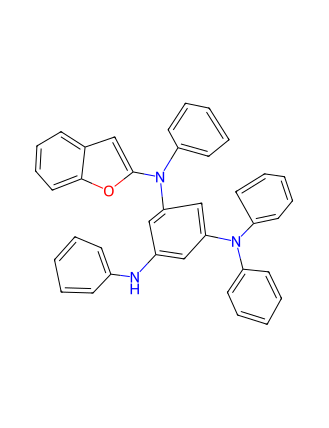 c1ccc(Nc2cc(N(c3ccccc3)c3ccccc3)cc(N(c3ccccc3)c3cc4ccccc4o3)c2)cc1